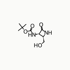 CC(C)(C)OC(=O)N[C@H]1C(=O)N[C@H]1CO